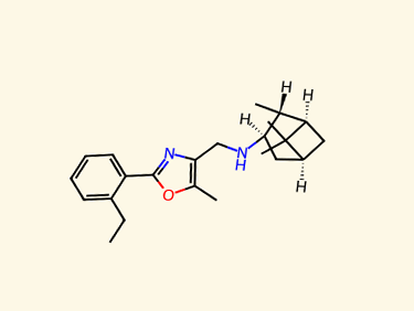 CCc1ccccc1-c1nc(CN[C@@H]2C[C@@H]3C[C@H]([C@H]2C)C3(C)C)c(C)o1